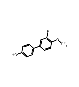 Oc1ccc(-c2ccc(OC(F)(F)F)c(F)c2)cc1